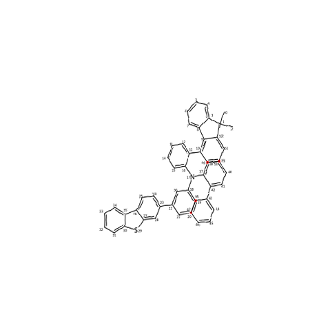 CC1(C)c2ccccc2-c2c(-c3ccccc3N(c3cccc(-c4ccc5c(c4)sc4ccccc45)c3)c3ccccc3-c3ccccc3)cccc21